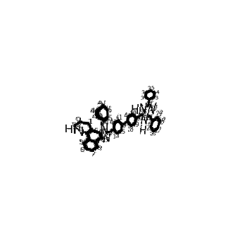 C1=Cc2c(c3ccccc3c3nc(-c4ccc(-c5ccc(C6NC(c7ccccc7)=NC(c7ccccc7)N6)cc5)cc4)n(-c4ccccc4)c23)NC1